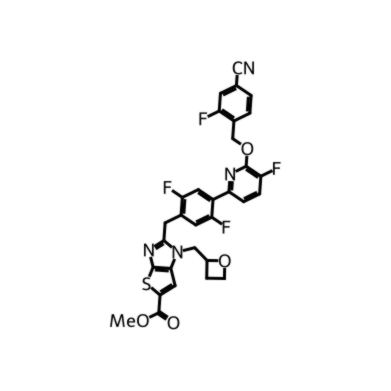 COC(=O)c1cc2c(nc(Cc3cc(F)c(-c4ccc(F)c(OCc5ccc(C#N)cc5F)n4)cc3F)n2CC2CCO2)s1